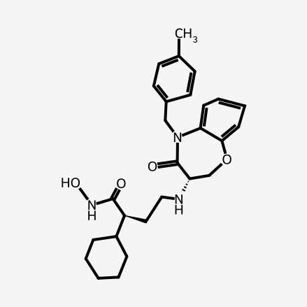 Cc1ccc(CN2C(=O)[C@@H](NCC[C@H](C(=O)NO)C3CCCCC3)COc3ccccc32)cc1